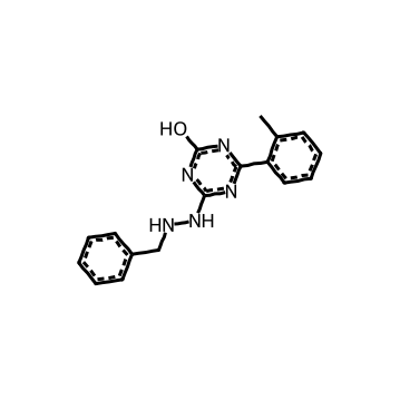 Cc1ccccc1-c1nc(O)nc(NNCc2ccccc2)n1